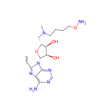 C=Cc1nc2c(N)ncnc2n1[C@@H]1O[C@H](CN(C)CCCCON)[C@@H](O)[C@H]1O